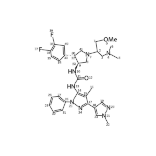 COCC(CN(C)C)N1C[C@@H](NC(=O)Nc2c(C)c(-c3cnn(C)c3)nn2-c2ccccc2)[C@H](c2ccc(F)c(F)c2)C1